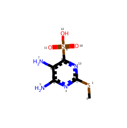 CSc1nc(N)c(N)c(S(=O)(=O)O)n1